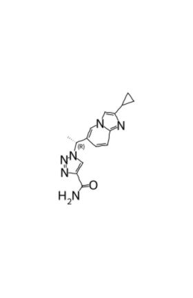 C[C@H](c1ccc2nc(C3CC3)cn2c1)n1cc(C(N)=O)nn1